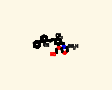 Cc1cc(CN2CCOCC2C(=O)O)c(OCCO)cc1C=Cc1cccc(-c2ccccc2)c1C#N